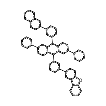 c1ccc(-c2ccc3c(-c4cccc(-c5ccc6oc7ccccc7c6c5)c4)c4cc(-c5ccccc5)ccc4c(-c4cccc(-c5ccc6ccccc6c5)c4)c3c2)cc1